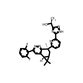 CC1(C)C2C[C@](C)(c3cccc(-c4nc([C@@H](O)C(F)(F)F)n[nH]4)n3)c3nnc(-c4c(F)cccc4F)cc3[C@H]21